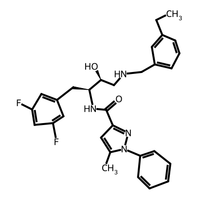 CCc1cccc(CNC[C@H](O)[C@H](Cc2cc(F)cc(F)c2)NC(=O)c2cc(C)n(-c3ccccc3)n2)c1